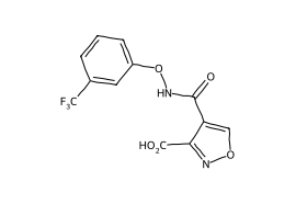 O=C(NOc1cccc(C(F)(F)F)c1)c1conc1C(=O)O